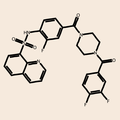 O=C(c1ccc(F)c(F)c1)N1CCN(C(=O)c2ccc(NS(=O)(=O)c3cccc4cccnc34)c(F)c2)CC1